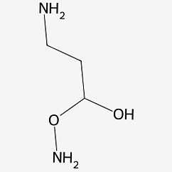 NCCC(O)ON